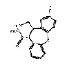 COC(=O)[C@H]1c2ccccc2Oc2ccc(Cl)cc2[C@@H]1C[N+](=O)[O-]